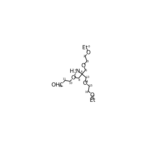 CCOCCOCC(N)(COCCC=O)COCCOCC